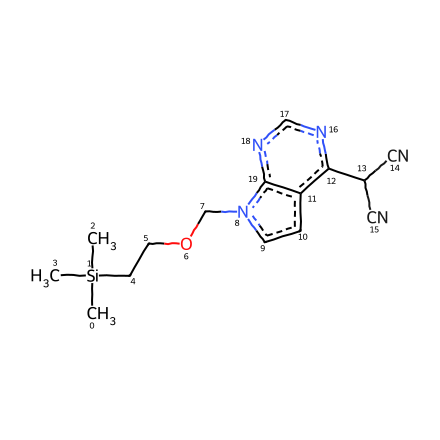 C[Si](C)(C)CCOCn1ccc2c(C(C#N)C#N)ncnc21